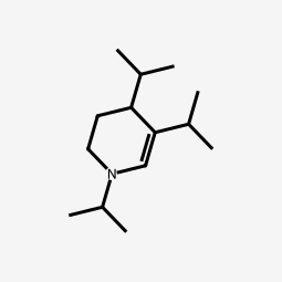 CC(C)C1=CN(C(C)C)CCC1C(C)C